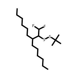 CCCCCCC(CCCCCC)C(SSC(C)(C)C)C(F)F